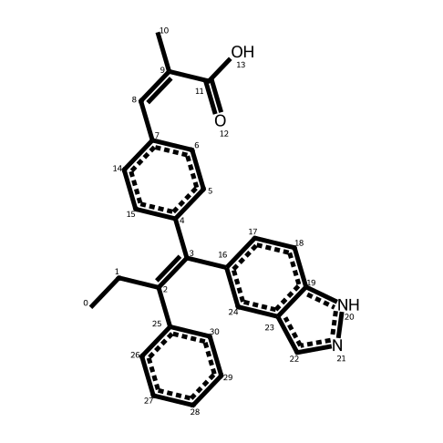 CCC(=C(c1ccc(C=C(C)C(=O)O)cc1)c1ccc2[nH]ncc2c1)c1ccccc1